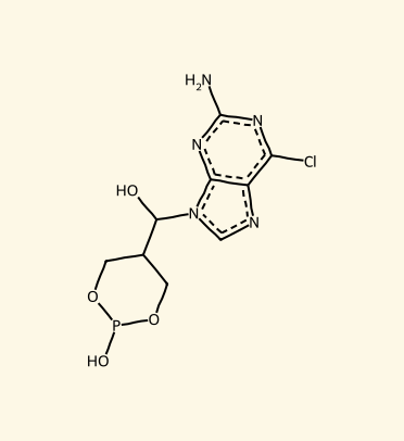 Nc1nc(Cl)c2ncn(C(O)C3COP(O)OC3)c2n1